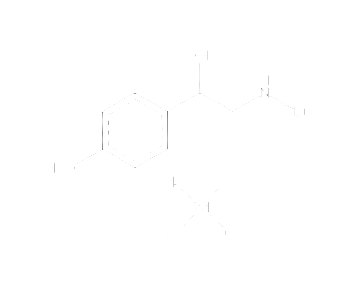 CCNCC(O)c1ccc(O)cc1.[Cl][Pd]([Cl])([Cl])[Cl]